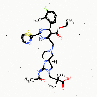 CCOC(=O)C1=C(CN2CCN3C(=NC(C)=O)N(CC(C)(C)C(=O)O)C[C@@H]3C2)NC(c2nccs2)=N[C@H]1c1cccc(F)c1C